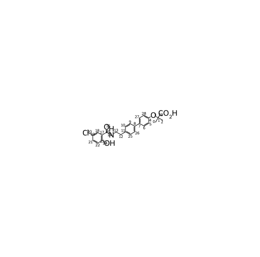 CC(C)(Oc1ccc(-c2ccc(CCNC(=O)c3cc(Cl)ccc3O)cc2)cc1)C(=O)O